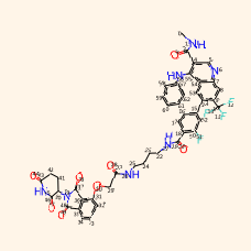 CNC(=O)c1cnc2cc(C(F)(F)F)c(-c3ccc(C(=O)NCCCCNC(=O)COc4cccc5c4C(=O)N(C4CCC(=O)NC4=O)C5=O)c(F)c3)cc2c1Nc1ccccc1